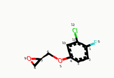 Fc1ccc(OC[C@H]2CO2)cc1Cl